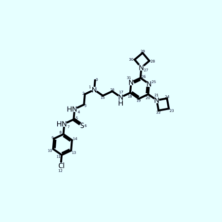 CN(CCNC(=S)Nc1ccc(Cl)cc1)CCNc1cc(N2CCC2)nc(N2CCC2)n1